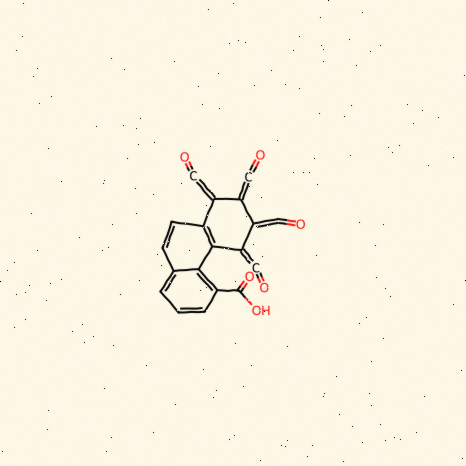 O=C=c1c(=C=O)c(=C=O)c2c(ccc3cccc(C(=O)O)c32)c1=C=O